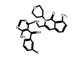 Cc1cccc2cc(CNc3ncnc(N)c3C(=N)c3cccc(F)c3)n(C3CCOCC3)c(=O)c12